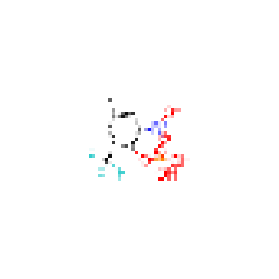 Cc1cc([N+](=O)[O-])c(OP(=O)(O)O)c(C(F)(F)F)c1